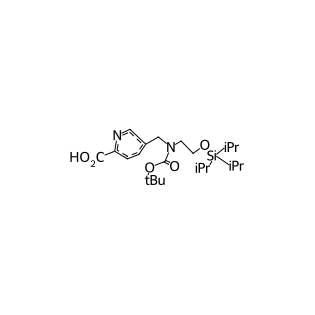 CC(C)[Si](OCCN(Cc1ccc(C(=O)O)nc1)C(=O)OC(C)(C)C)(C(C)C)C(C)C